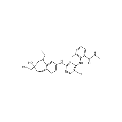 CCN1C[C@](O)(CO)CC=C2CC=C(Nc3ncc(Cl)c(Nc4c(F)cccc4C(=O)NC)n3)C=C21